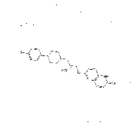 O=c1ccc2cc(OC[C@H](O)CN3CCN(c4ccc(F)cc4)CC3)ccc2[nH]1